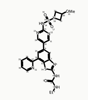 CCNC(=O)Nc1nc2cc(-c3cnc(NS(=O)(=O)N4CC(OC)C4)nc3)cc(-c3ccccn3)c2s1